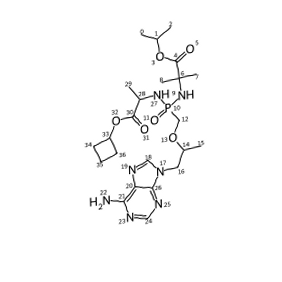 CC(C)OC(=O)C(C)(C)NP(=O)(COC(C)Cn1cnc2c(N)ncnc21)NC(C)C(=O)OC1CCC1